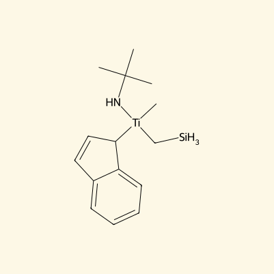 CC(C)(C)[NH][Ti]([CH3])([CH2][SiH3])[CH]1C=Cc2ccccc21